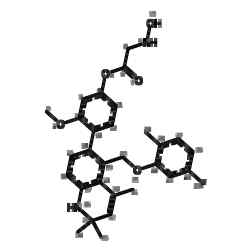 COc1cc(OC(=O)CNO)ccc1-c1ccc2c(c1COc1cc(F)ccc1C)C(C)=CC(C)(C)N2